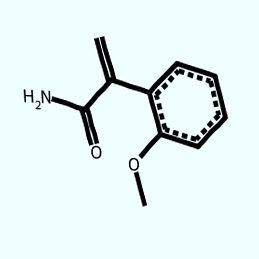 C=C(C(N)=O)c1ccccc1OC